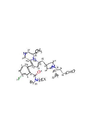 CCN(C(=O)c1cc(F)ccc1-c1cc(CC2CN([C@H](CCC=O)C(C)C)C2)n2c(C)cncc12)C(C)C